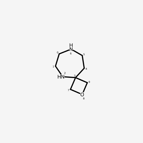 C1CNC2(CCN1)COC2